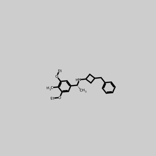 CCOc1cc([C@@H](C)NC2CC(Cc3ccccc3)C2)cc(OCC)c1C